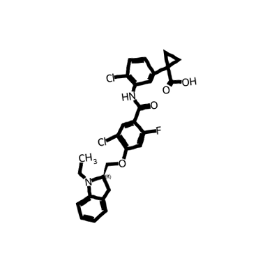 CCN1c2ccccc2C[C@@H]1COc1cc(F)c(C(=O)Nc2cc(C3(C(=O)O)CC3)ccc2Cl)cc1Cl